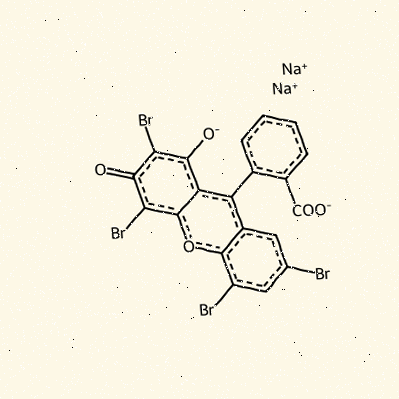 O=C([O-])c1ccccc1-c1c2c([O-])c(Br)c(=O)c(Br)c-2oc2c(Br)cc(Br)cc12.[Na+].[Na+]